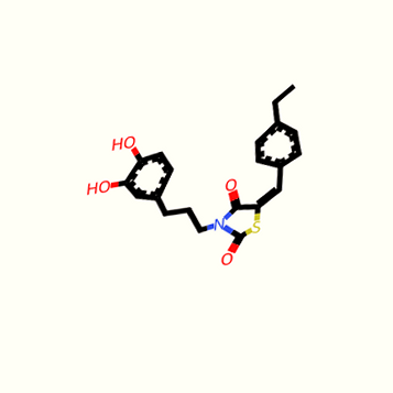 CCc1ccc(C=C2SC(=O)N(CCCc3ccc(O)c(O)c3)C2=O)cc1